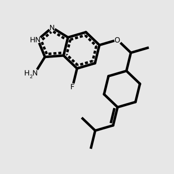 CC(C)C=C1CCC(C(C)Oc2cc(F)c3c(N)[nH]nc3c2)CC1